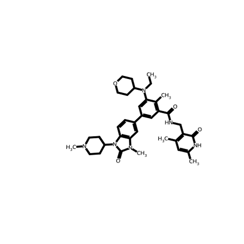 CCN(c1cc(-c2ccc3c(c2)n(C)c(=O)n3C2CCN(C)CC2)cc(C(=O)NCc2c(C)cc(C)[nH]c2=O)c1C)C1CCOCC1